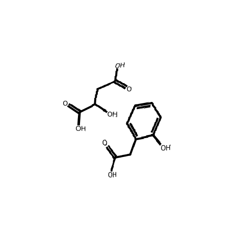 O=C(O)CC(O)C(=O)O.O=C(O)Cc1ccccc1O